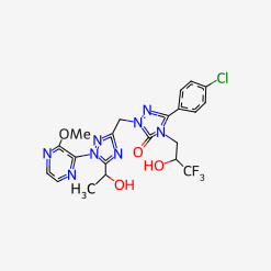 COc1nccnc1-n1nc(Cn2nc(-c3ccc(Cl)cc3)n(CC(O)C(F)(F)F)c2=O)nc1C(C)O